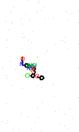 COCCN(C)Cc1ccc2[nH]c(-c3ccc(Cc4cc(Cl)ccc4OCc4ccccc4)o3)nc2c1.Cl.Cl